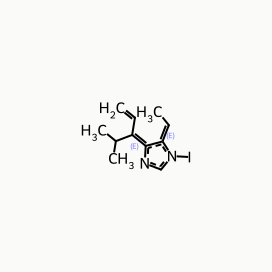 C=C/C(=c1/ncn(I)/c1=C/C)C(C)C